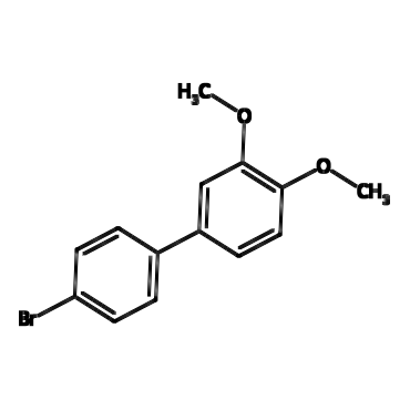 COc1ccc(-c2ccc(Br)cc2)cc1OC